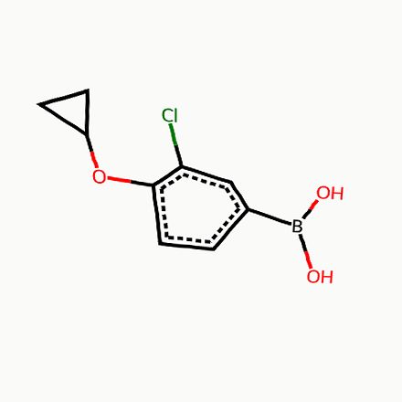 OB(O)c1ccc(OC2CC2)c(Cl)c1